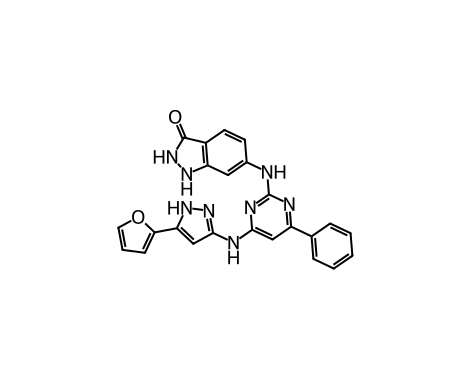 O=c1[nH][nH]c2cc(Nc3nc(Nc4cc(-c5ccco5)[nH]n4)cc(-c4ccccc4)n3)ccc12